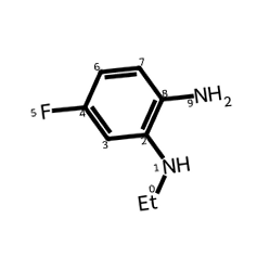 CCNc1cc(F)ccc1N